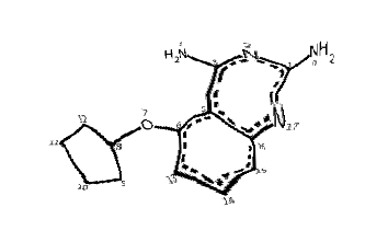 Nc1nc(N)c2c(OC3CCCC3)cccc2n1